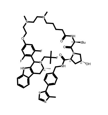 Cc1ncsc1-c1ccc(CNC(=O)[C@@H]2C[C@@H](O)CN2C(=O)[C@@H](NC(=O)CCCCN(C)CCN(C)CCOc2cc(F)c(C3c4[nH]c5ccccc5c4C[C@@H](C)N3CC(C)(C)F)c(F)c2)C(C)(C)C)cc1